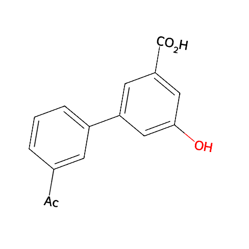 CC(=O)c1cccc(-c2cc(O)cc(C(=O)O)c2)c1